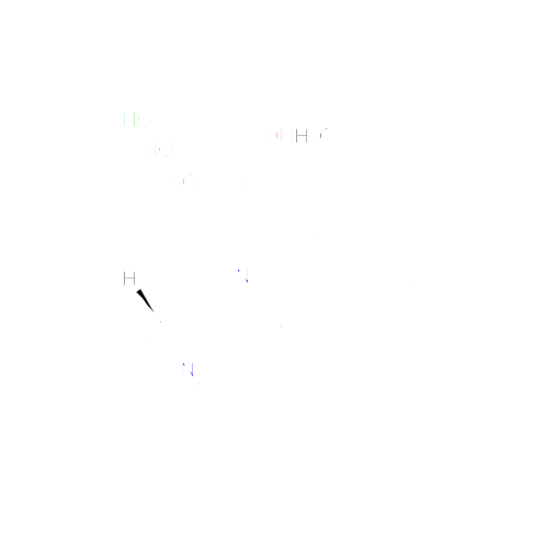 Cc1ccccc1C(C(=O)O)N1CCN2CCC[C@@H]2C1.Cl.Cl